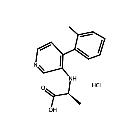 Cc1ccccc1-c1ccncc1N[C@@H](C)C(=O)O.Cl